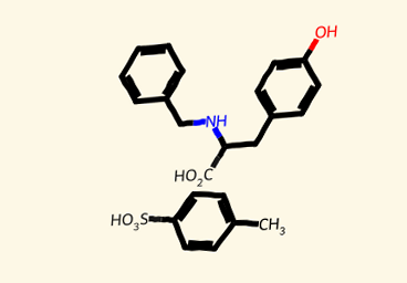 Cc1ccc(S(=O)(=O)O)cc1.O=C(O)C(Cc1ccc(O)cc1)NCc1ccccc1